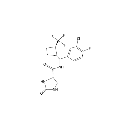 O=C1NC[C@@H](C(=O)NC(c2ccc(F)c(Cl)c2)[C@@H]2CC[C@H]2C(F)(F)F)N1